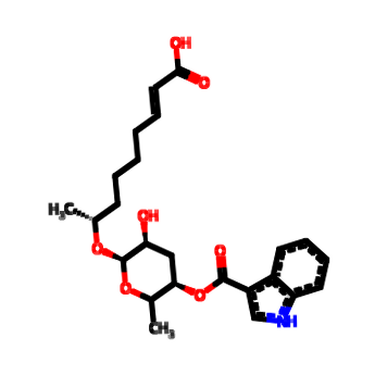 CC1O[C@@H](O[C@H](C)CCCC/C=C/C(=O)O)[C@@H](O)C[C@H]1OC(=O)c1c[nH]c2ccccc12